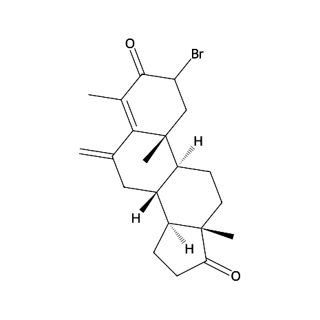 C=C1C[C@@H]2[C@H](CC[C@]3(C)C(=O)CC[C@@H]23)[C@@]2(C)CC(Br)C(=O)C(C)=C12